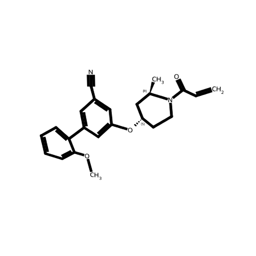 C=CC(=O)N1CC[C@H](Oc2cc(C#N)cc(-c3ccccc3OC)c2)C[C@H]1C